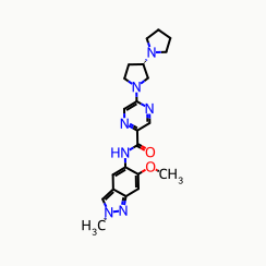 COc1cc2nn(C)cc2cc1NC(=O)c1cnc(N2CC[C@H](N3CCCC3)C2)cn1